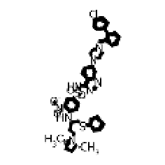 C[C@@H]1CC[C@H](C)N1CCC(CSc1ccccc1)Nc1ccc(S(=O)(=O)Nc2ncnc3cc(N4CCN(Cc5ccccc5-c5ccc(Cl)cc5)CC4)ccc23)cc1[N+](=O)[O-]